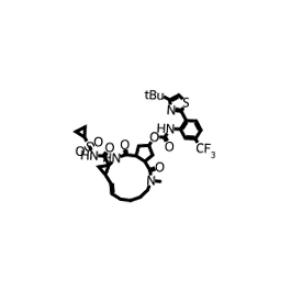 CN1CCCC/C=C/C2CC2(C(=O)NS(=O)(=O)C2CC2)NC(=O)C2CC(OC(=O)Nc3cc(C(F)(F)F)ccc3-c3nc(C(C)(C)C)cs3)CC2C1=O